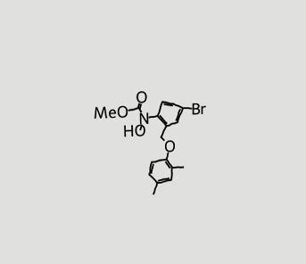 COC(=O)N(O)c1ccc(Br)cc1COc1ccc(C)cc1C